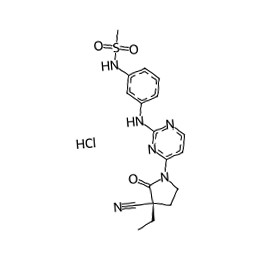 CC[C@]1(C#N)CCN(c2ccnc(Nc3cccc(NS(C)(=O)=O)c3)n2)C1=O.Cl